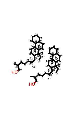 CC(CO)CCC[C@@H](C)[C@H]1CC[C@H]2[C@@H]3CCC4CCCC[C@]4(C)[C@H]3CC[C@]12C.CC(CO)CCC[C@@H](C)[C@H]1CC[C@H]2[C@@H]3CCC4CCCC[C@]4(C)[C@H]3CC[C@]12C